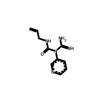 C=CCNC(=O)N(C(=N)N)c1cccnc1